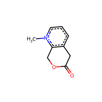 C[n+]1cccc2c1COC(=O)C2